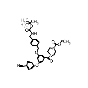 CCOC(=O)N1CCN(C(=O)c2cc(OCc3ccc(CNC(=O)OC(C)(C)C)cc3)cc(Oc3ccc(C#N)cc3)c2)CC1